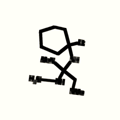 CCC1(NC(CNC)(NC)N[SiH3])CCCCC1